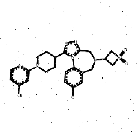 N#Cc1ccnc(N2CCC(c3nnc4n3-c3ccc(Cl)cc3CN(C3CS(=O)(=O)C3)C4)CC2)c1